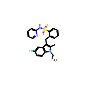 Cc1c(Cc2ccccc2S(=O)(=O)Nc2ccccn2)c2cc(F)ccc2n1CC(=O)O